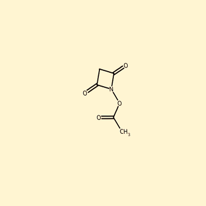 CC(=O)ON1C(=O)CC1=O